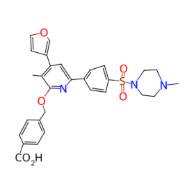 Cc1c(-c2ccoc2)cc(-c2ccc(S(=O)(=O)N3CCN(C)CC3)cc2)nc1OCc1ccc(C(=O)O)cc1